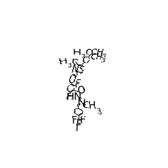 Cc1nc(COc2ccc(F)c(C(=O)NCN(C)Cc3ccc(C(F)(F)F)cc3)c2F)sc1-c1ccc(C(C)(C)C)cc1